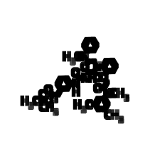 Cc1cc(C)cc(N(C)C(=O)COc2ccccc2N(CC(=O)N(C)c2ccccc2)C(=O)CNC(=O)Nc2cccc(CC(=O)OC(C)(C)C)c2)c1